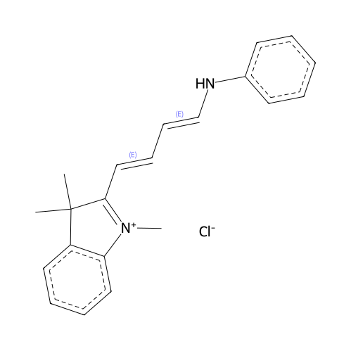 C[N+]1=C(/C=C/C=C/Nc2ccccc2)C(C)(C)c2ccccc21.[Cl-]